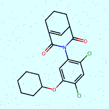 O=C1C2=CC(CCC2)C(=O)N1c1cc(OC2CCCCC2)c(Cl)cc1Cl